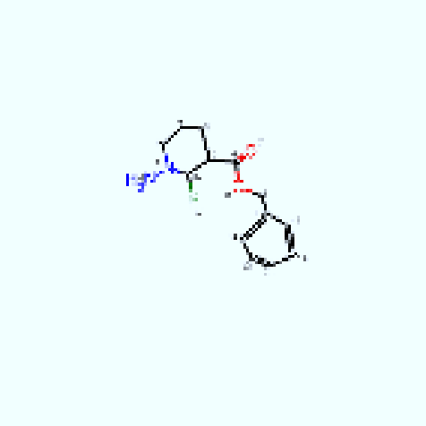 NN1CCCC(C(=O)OCc2ccccc2)C1F